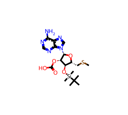 CSC[C@H]1O[C@@H](n2cnc3c(N)ncnc32)[C@@H](OC(=O)O)[C@@H]1O[Si](C)(C)C(C)(C)C